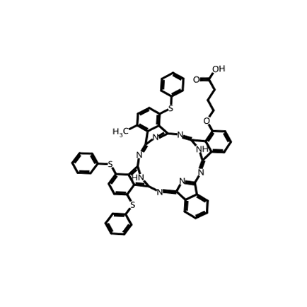 Cc1ccc(Sc2ccccc2)c2c1-c1nc-2nc2[nH]c(nc3nc(nc4[nH]c(n1)c1c(Sc5ccccc5)ccc(Sc5ccccc5)c41)-c1ccccc1-3)c1cccc(OCCCC(=O)O)c21